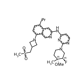 CO[C@]1(C)CCN(c2nccc(Nc3cc4c(C(C)C)ccc(N5CC(CS(C)(=O)=O)C5)c4cn3)n2)C[C@H]1F